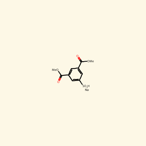 COC(=O)c1cc(C(=O)OC)cc(S(=O)(=O)O)c1.[Na]